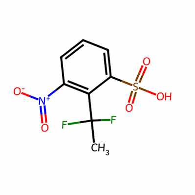 CC(F)(F)c1c([N+](=O)[O-])cccc1S(=O)(=O)O